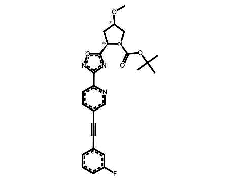 CO[C@@H]1C[C@H](c2nc(-c3ccc(C#Cc4cccc(F)c4)cn3)no2)N(C(=O)OC(C)(C)C)C1